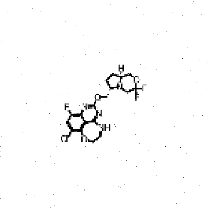 Fc1cc(Cl)c2c3c(nc(OC[C@@H]4CC[C@H]5COC(F)(F)CN45)nc13)NCCO2